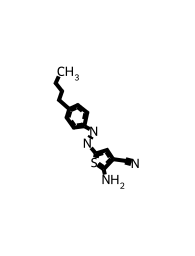 CCCCc1ccc(N=Nc2cc(C#N)c(N)s2)cc1